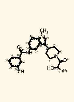 CCCC(O)C(=O)N1CCC(c2cn(C)c3ccc(NC(=O)c4cccc(C#N)c4)cc23)CC1